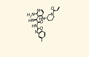 C=CC(=O)N1CCC[C@@H](Nc2ccnc(N)c2C(=N)C(=O)Nc2nc3cc(C)ccc3o2)C1